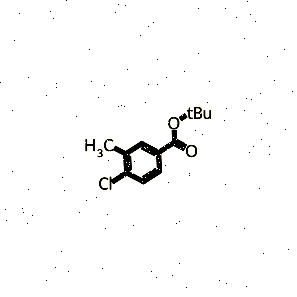 Cc1cc(C(=O)OC(C)(C)C)ccc1Cl